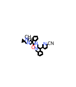 CN(C)C1(CN2CC3(C2)C(=O)N(Cc2ncc4ccccc4c2-c2ccc(C#N)nc2)c2ccccc23)CC1